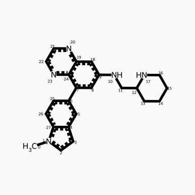 Cn1ccc2cc(-c3cc(NCC4CCCCN4)cc4nccnc34)ccc21